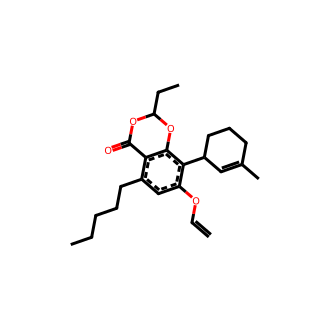 C=COc1cc(CCCCC)c2c(c1C1C=C(C)CCC1)OC(CC)OC2=O